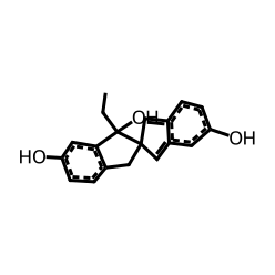 CCC1(O)c2cc(O)ccc2CC12C=c1ccc(O)cc1=C2